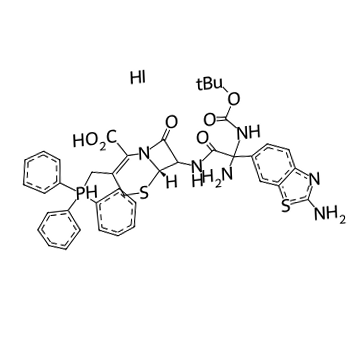 CC(C)(C)OC(=O)NC(N)(C(=O)NC1C(=O)N2C(C(=O)O)=C(C[PH](c3ccccc3)(c3ccccc3)c3ccccc3)CS[C@@H]12)c1ccc2nc(N)sc2c1.I